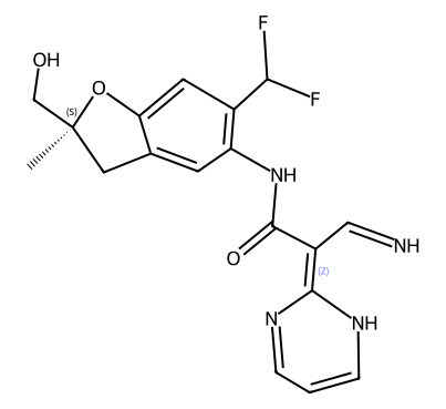 C[C@@]1(CO)Cc2cc(NC(=O)/C(C=N)=C3\N=CC=CN3)c(C(F)F)cc2O1